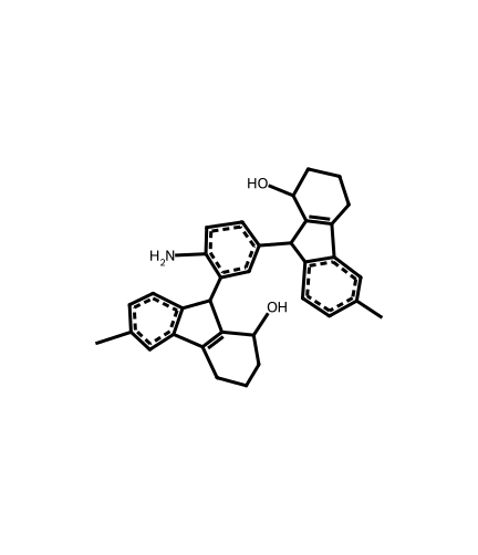 Cc1ccc2c(c1)C1=C(C(O)CCC1)C2c1ccc(N)c(C2C3=C(CCCC3O)c3cc(C)ccc32)c1